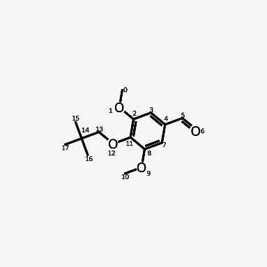 COc1cc(C=O)cc(OC)c1OCC(C)(C)C